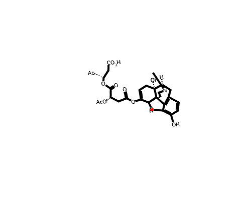 CC(=O)O[C@@H](CC(=O)OC1=CC[C@@]2(O)[C@H]3Cc4ccc(O)c5c4[C@@]2(CCN3C)[C@H]1O5)C(=O)O[C@@H](CC(=O)O)C(C)=O